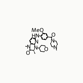 COc1cc(C(=O)N2CCN(C)CC2)ccc1Nc1ccc2c(n1)N(C1CCOCC1)[C@@H](C)C(=O)N2C